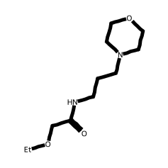 CCOCC(=O)NCCCN1CCOCC1